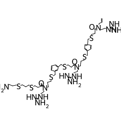 C=CCN(CCNC(=N)N)C(=O)CCSCc1ccc(CSCCCN(CCNC(=N)N)C(=O)CCSCc2cccc(CSCCCN(CCNC(=N)N)C(=O)CCSCCCSCCCN)c2)cc1